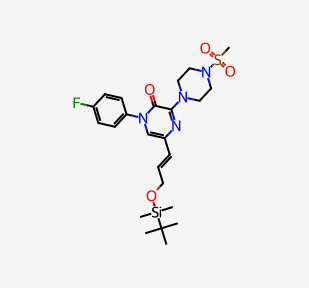 CC(C)(C)[Si](C)(C)OCC=Cc1cn(-c2ccc(F)cc2)c(=O)c(N2CCN(S(C)(=O)=O)CC2)n1